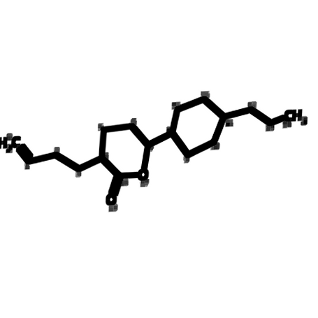 C=CCCC1CCC(C2CCC(CCC)CC2)OC1=O